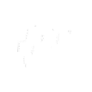 COc1[c]ccc(/C=C\c2ccc(C(C)C)cc2)c1